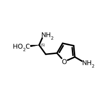 Nc1ccc(C[C@H](N)C(=O)O)o1